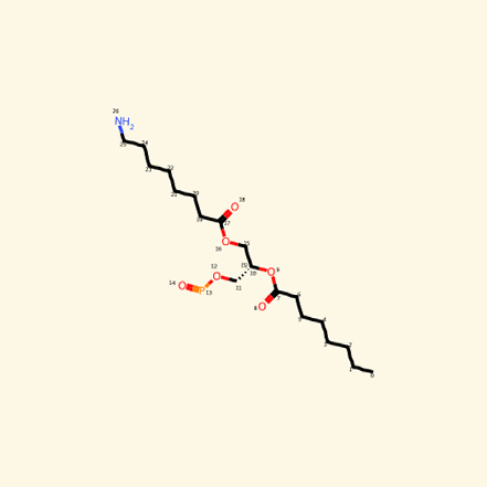 CCCCCCCC(=O)O[C@H](COP=O)COC(=O)CCCCCCCN